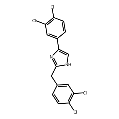 Clc1ccc(Cc2nc(-c3ccc(Cl)c(Cl)c3)c[nH]2)cc1Cl